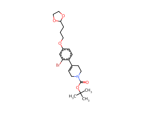 CC(C)(C)OC(=O)N1CC=C(c2ccc(OCCCC3OCCO3)cc2Br)CC1